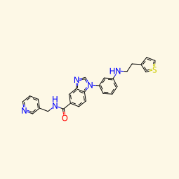 O=C(NCc1cccnc1)c1ccc2c(c1)ncn2-c1cccc(NCCc2ccsc2)c1